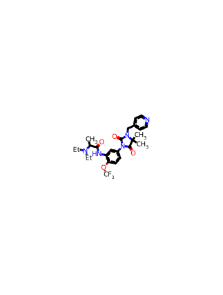 CCN(CC)C(C)C(=O)Nc1cc(N2C(=O)N(Cc3ccncc3)C(C)(C)C2=O)ccc1OC(F)(F)F